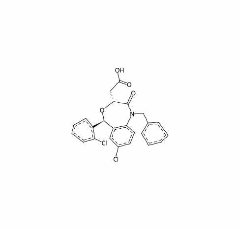 O=C(O)C[C@H]1O[C@H](c2ccccc2Cl)c2cc(Cl)ccc2N(Cc2ccccc2)C1=O